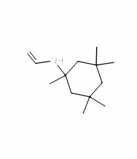 CC1(C)CC(C)(C)CC(C)(NC=O)C1